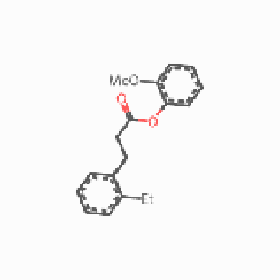 CCc1ccccc1CCC(=O)Oc1ccccc1OC